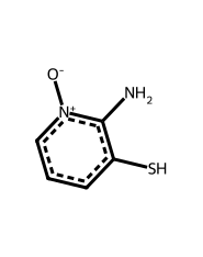 Nc1c(S)ccc[n+]1[O-]